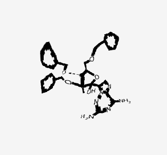 C[C@@]1(OCc2ccccc2)[C@H](OCc2ccccc2)[C@@H](COCc2ccccc2)OC1(O)c1cnc2c(N)nc(N)nn12